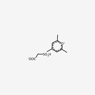 Cc1cc(C)[o+]c(C)c1.O=C([O-])CS(=O)(=O)O